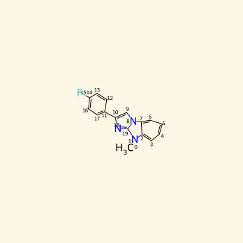 Cn1c2ccccc2n2cc(-c3ccc(F)cc3)nc12